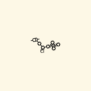 CC1CC2CC(C)C(c3ccc(-c4cc(Cl)cc(-c5ccc(N6c7ccccc7N(c7ccccc7)c7ccccc76)cc5)c4)cc3)C(C1)C2